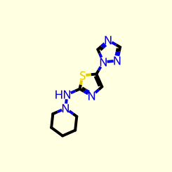 c1ncn(-c2cnc(NN3CCCCC3)s2)n1